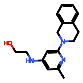 Cc1cc(NCCO)cc(N2CCc3ccccc3C2)n1